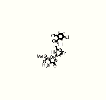 COC(=O)[C@@H]1OB([C@H](CC(C)C)NC(=O)CNC(=O)c2cc(Cl)ccc2Cl)OC(=O)[C@@H]1N